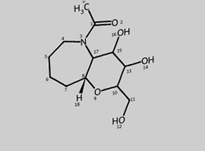 CC(=O)N1CCCC[C@H]2OC(CO)C(O)C(O)C21